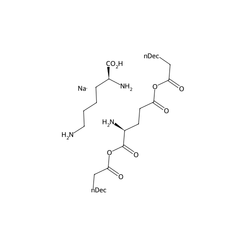 CCCCCCCCCCCC(=O)OC(=O)CC[C@H](N)C(=O)OC(=O)CCCCCCCCCCC.NCCCC[C@H](N)C(=O)O.[Na]